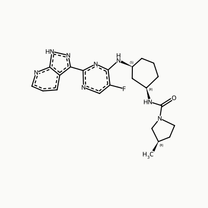 C[C@@H]1CCN(C(=O)N[C@@H]2CCC[C@H](Nc3nc(-c4n[nH]c5ncccc45)ncc3F)C2)C1